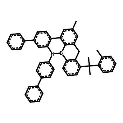 Cc1cc2c3c(c1)-c1ccc(-c4ccccc4)cc1N(c1ccc(-c4ccccc4)cc1)B3c1cccc(C(C)(C)c3ccccc3C)c1C2